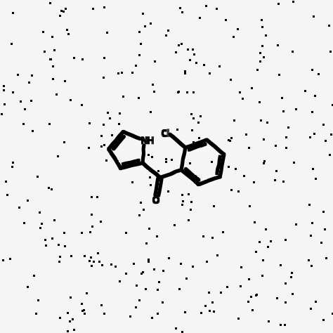 O=C(c1ccc[nH]1)c1ccccc1Cl